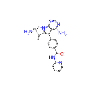 C=C1c2c(-c3ccc(C(=O)Nc4ccccn4)cc3)c3c(N)ncnc3n2C[C@H]1N